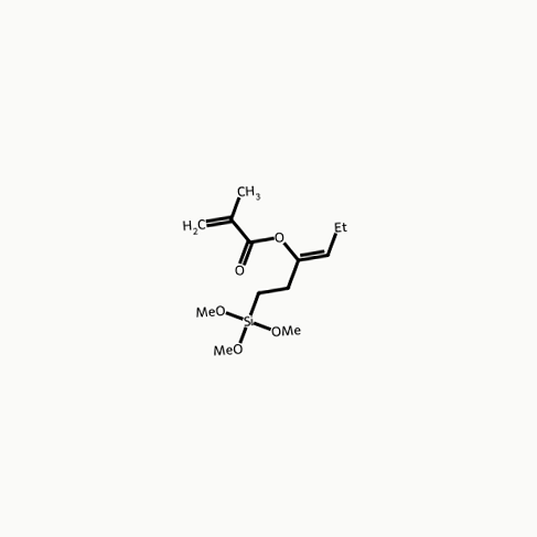 C=C(C)C(=O)OC(=CCC)CC[Si](OC)(OC)OC